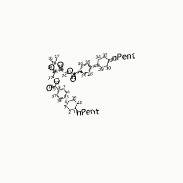 CCCCC[C@H]1CC[C@H](c2ccc(C(=O)OC[C@H]3OC(C)(C)O[C@@H]3COC(=O)c3ccc([C@H]4CC[C@H](CCCCC)CC4)cc3)cc2)CC1